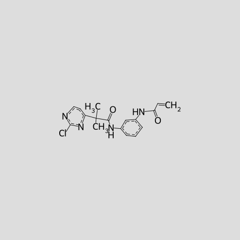 C=CC(=O)Nc1cccc(NC(=O)C(C)(C)c2ccnc(Cl)n2)c1